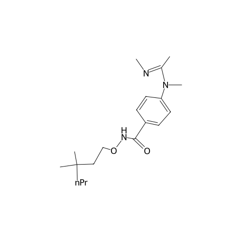 CCCC(C)(C)CCONC(=O)c1ccc(N(C)C(C)=NC)cc1